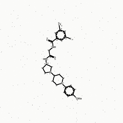 COc1ccc(N2CCC(N3CC[C@@H](NC(=O)CNC(=O)c4cc(F)cc(C(F)(F)F)c4)C3)CC2)cc1